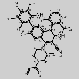 C=CC(=O)N1CCN(C2=C(C#N)C(O)N(c3c(C)ccnc3C(C)C)c3nc(-c4c(N)c(F)c(F)c(F)c4F)c(Cl)cc32)[C@@H](C)C1